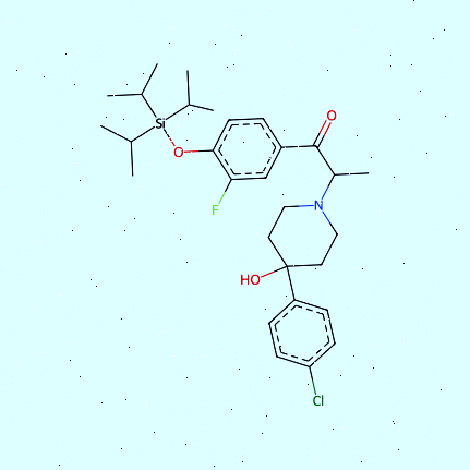 CC(C(=O)c1ccc(O[Si](C(C)C)(C(C)C)C(C)C)c(F)c1)N1CCC(O)(c2ccc(Cl)cc2)CC1